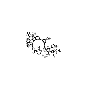 CCC1NCCC1C(=O)N(C)C(C(=O)N[C@H]1Cc2cc(O)cc(c2)-c2ccc3c(c2)c(c(-c2cccnc2[C@H](C)OC)n3CC)CC(C)(C)COC(=O)[C@@H]2CCCN(N2)C1=O)C(C)C